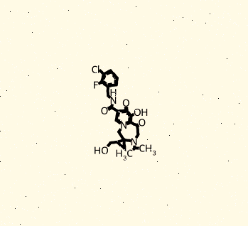 CC(C)N1CC(=O)c2c(O)c(=O)c(C(=O)NCc3cccc(Cl)c3F)cn2CC12CC2CO